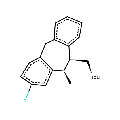 CC[C@H](C)C[C@@H]1c2ccccc2Cc2ccc(F)cc2[C@@H]1C